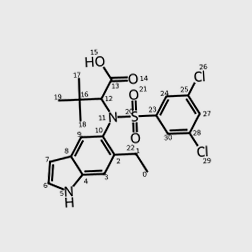 CCc1cc2[nH]ccc2cc1N(C(C(=O)O)C(C)(C)C)S(=O)(=O)c1cc(Cl)cc(Cl)c1